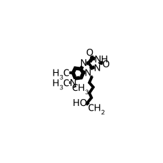 C=C(O)CCCCCn1c2nc(=O)[nH]c(=O)c-2nc2cc(C)c(N(C)C)cc21